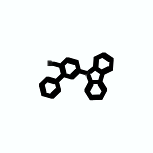 Brc1ccc(-n2c3ccccc3c3ccccc32)cc1-c1ccccc1